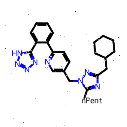 CCCCCc1nc(CC2CCCCC2)nn1Cc1ccc(-c2ccccc2-c2nnn[nH]2)nc1